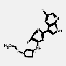 CCSN1CC[C@H](Nc2nc(-c3c[nH]c4ncc(Cl)cc34)ncc2F)C1